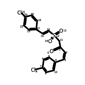 O=C(/C=C\c1ccc(Cl)cc1)CS(=O)(=O)C=Cc1ccc(Cl)cc1